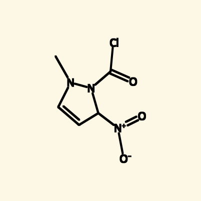 CN1C=CC([N+](=O)[O-])N1C(=O)Cl